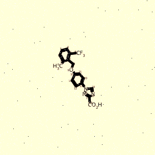 Cc1cccc(C(F)(F)F)c1COc1ccc(-n2cnc(C(=O)O)n2)cc1